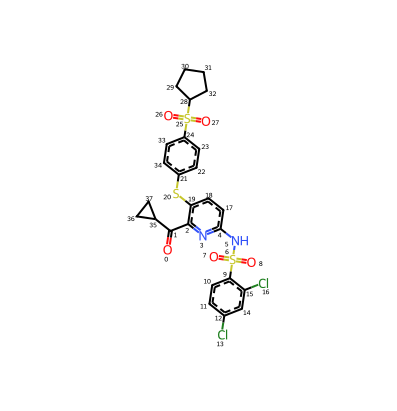 O=C(c1nc(NS(=O)(=O)c2ccc(Cl)cc2Cl)ccc1Sc1ccc(S(=O)(=O)C2CCCC2)cc1)C1CC1